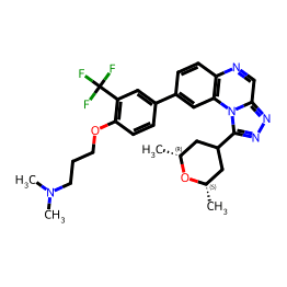 C[C@@H]1CC(c2nnc3cnc4ccc(-c5ccc(OCCCN(C)C)c(C(F)(F)F)c5)cc4n23)C[C@H](C)O1